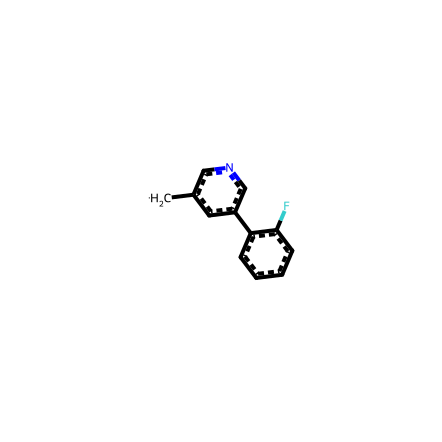 [CH2]c1cncc(-c2ccccc2F)c1